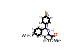 COC(=O)[C@H](CC(C)C)NC(c1ccc(Br)cc1)c1ccc(OC)cc1